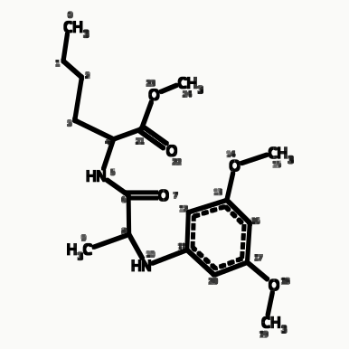 CCCCC(NC(=O)C(C)Nc1cc(OC)cc(OC)c1)C(=O)OC